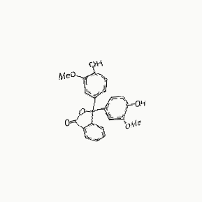 COc1cc(C2(c3ccc(O)c(OC)c3)OC(=O)c3ccccc32)ccc1O